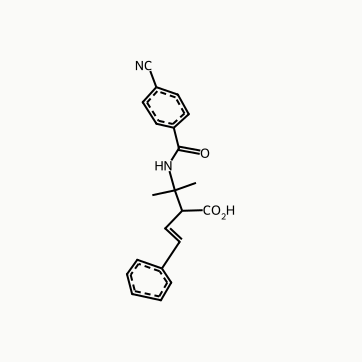 CC(C)(NC(=O)c1ccc(C#N)cc1)C(C=Cc1ccccc1)C(=O)O